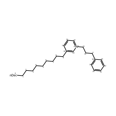 CCCCCCCCCCCCCCCCCCCc1ccc[n+](CCCc2ccccc2)c1